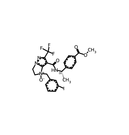 COC(=O)c1ccc([C@H](C)NC(=O)c2c(C(F)(F)F)nn3c2[N+]([O-])(Cc2cccc(I)c2)CC3)cc1